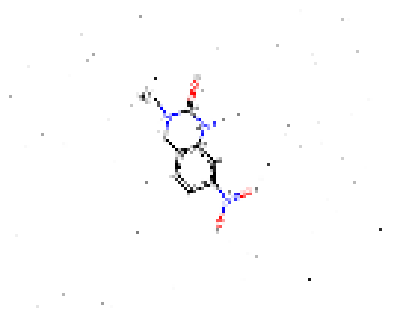 CN1Cc2ccc([N+](=O)[O-])cc2NC1=O